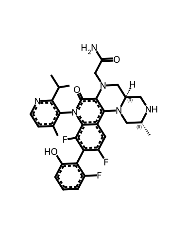 Cc1ccnc(C(C)C)c1-n1c(=O)c2c(c3cc(F)c(-c4c(O)cccc4F)c(F)c31)N1C[C@@H](C)NC[C@@H]1CN2CC(N)=O